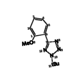 COc1ccccc1-c1nnn(C(C)(C)C)n1